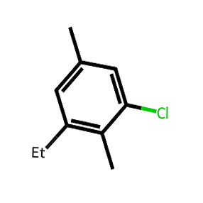 CCc1cc(C)cc(Cl)c1C